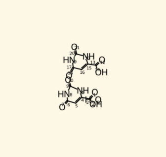 O.O=C(O)c1cc(=O)[nH]c(=O)[nH]1.O=C(O)c1cc(=O)[nH]c(=O)[nH]1